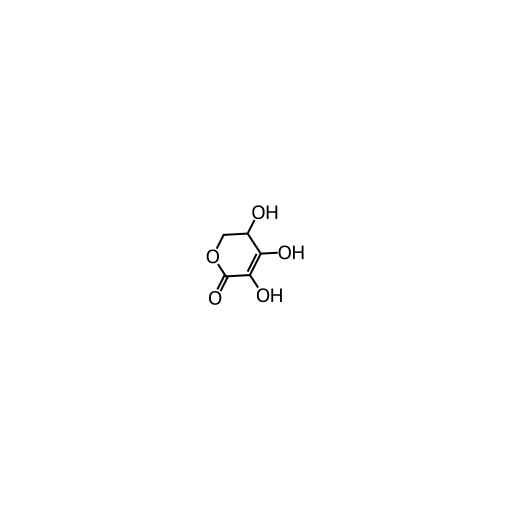 O=C1OCC(O)C(O)=C1O